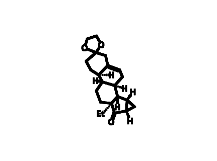 CC[C@]12CC[C@H]3[C@@H](CC=C4CC5(CC[C@@H]43)OCCO5)[C@@H]1[C@@H]1C[C@@H]1C2=O